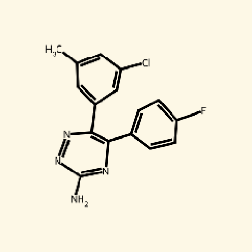 Cc1cc(Cl)cc(-c2nnc(N)nc2-c2ccc(F)cc2)c1